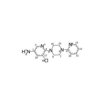 Nc1cnc(N2CCN(c3ccccn3)CC2)c(Cl)c1